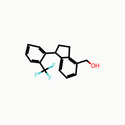 OCc1cccc2c1CCC2c1ccccc1C(F)(F)F